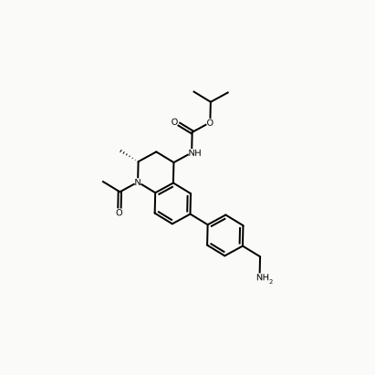 CC(=O)N1c2ccc(-c3ccc(CN)cc3)cc2C(NC(=O)OC(C)C)C[C@H]1C